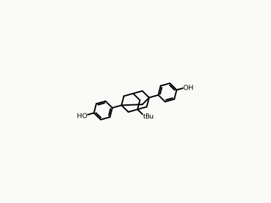 CC(C)(C)C12CC3CC(c4ccc(O)cc4)(CC(c4ccc(O)cc4)(C3)C1)C2